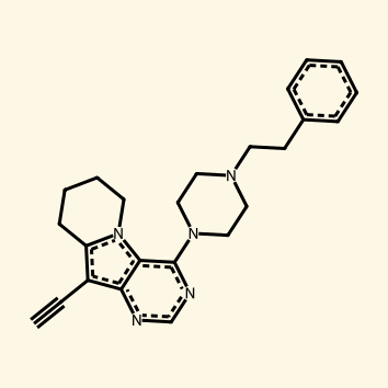 C#Cc1c2n(c3c(N4CCN(CCc5ccccc5)CC4)ncnc13)CCCC2